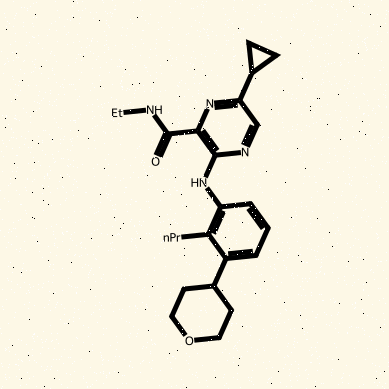 CCCc1c(Nc2ncc(C3CC3)nc2C(=O)NCC)cccc1C1CCOCC1